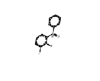 O=[PH](c1ccccc1)c1cccc(F)c1F